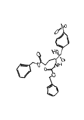 CS(=O)(=O)c1ccc(CP(=O)(O)C(CCC(=O)OCc2ccccc2)NC(=O)OCc2ccccc2)cc1